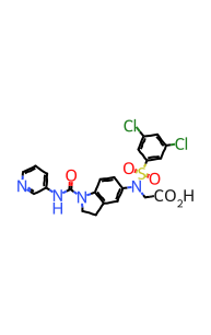 O=C(O)CN(c1ccc2c(c1)CCN2C(=O)Nc1cccnc1)S(=O)(=O)c1cc(Cl)cc(Cl)c1